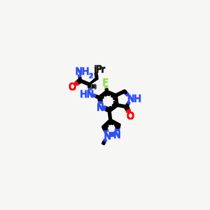 CC(C)C[C@@H](Nc1nc(-c2cnn(C)c2)c2c(c1F)CNC2=O)C(N)=O